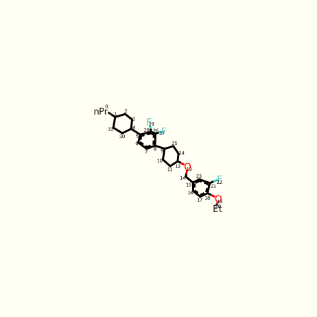 CCCC1CCC(c2ccc(C3CCC(OCc4ccc(OCC)c(F)c4)CC3)c(F)c2F)CC1